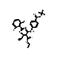 CCOC(=O)c1c(C=O)nc(-c2c(F)cccc2F)nc1Nc1ccc(C(=O)OC(C)(C)C)cc1